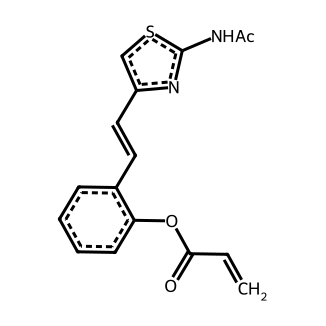 C=CC(=O)Oc1ccccc1C=Cc1csc(NC(C)=O)n1